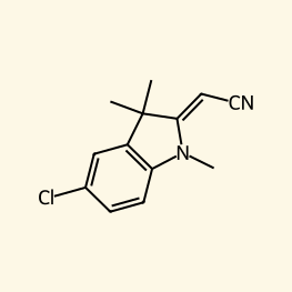 CN1C(=CC#N)C(C)(C)c2cc(Cl)ccc21